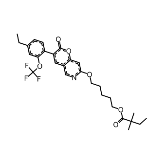 CCc1ccc(-c2cc3cnc(OCCCCCOC(=O)C(C)(C)CC)cc3oc2=O)c(OC(F)(F)F)c1